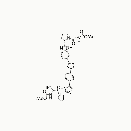 COC(=O)NCC(=O)N1CCC[C@H]1c1nc2ccc(-c3ccc(-c4ccc(-c5cnc([C@@H]6CCCN6C(=O)C(NC(=O)OC)C(C)C)[nH]5)cc4)s3)cc2[nH]1